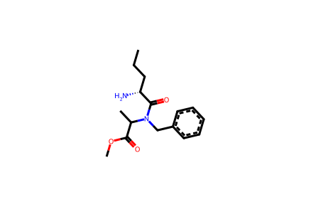 CCC[C@@H](N)C(=O)N(Cc1ccccc1)C(C)C(=O)OC